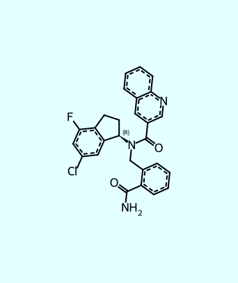 NC(=O)c1ccccc1CN(C(=O)c1cnc2ccccc2c1)[C@@H]1CCc2c(F)cc(Cl)cc21